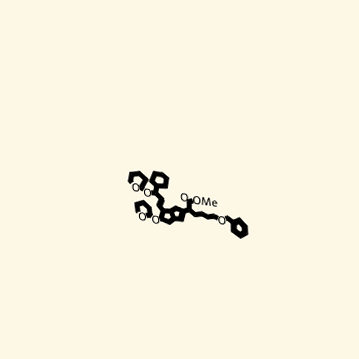 COC(=O)C(CCCCOCc1ccccc1)C1=CC2CC(OC3CCCCO3)C(C=CC(OC3CCCCO3)C3CCCCC3)C2C1